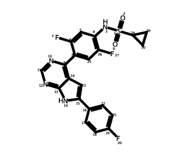 O=S(=O)(Nc1cc(F)c(-c2ncnc3[nH]c(-c4ccc(F)cc4)cc23)cc1F)C1CC1